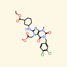 CCOC(=O)C1CCCC(Nc2nc3c(c(=O)n(Cc4ccc(Cl)c(Cl)c4)c(=O)n3C)n2CC(=O)OC)C1